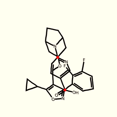 O=C(O)c1ccc(N2C3CCC2CC(OCc2c(-c4cccc(F)c4F)noc2C2CC2)C3)nc1